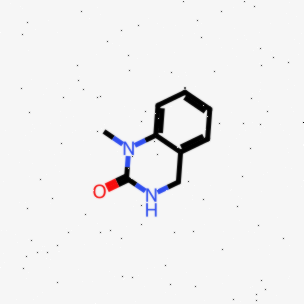 CN1C(=O)NCc2cc[c]cc21